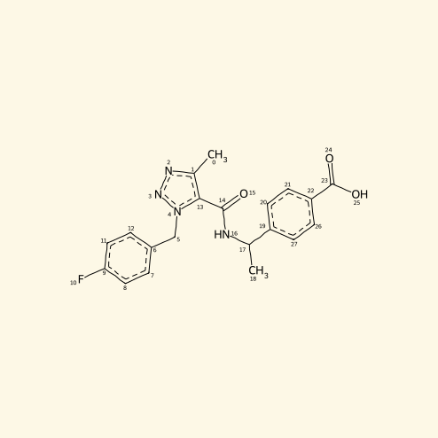 Cc1nnn(Cc2ccc(F)cc2)c1C(=O)NC(C)c1ccc(C(=O)O)cc1